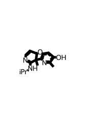 Cc1nc(C2(C)C(=O)C=CN=C2NC(C)C)ccc1O